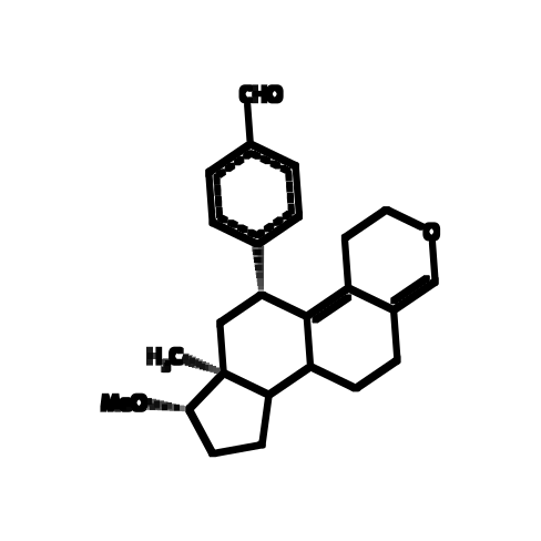 CO[C@H]1CCC2C3CCC4=COCCC4=C3[C@@H](c3ccc(C=O)cc3)C[C@@]21C